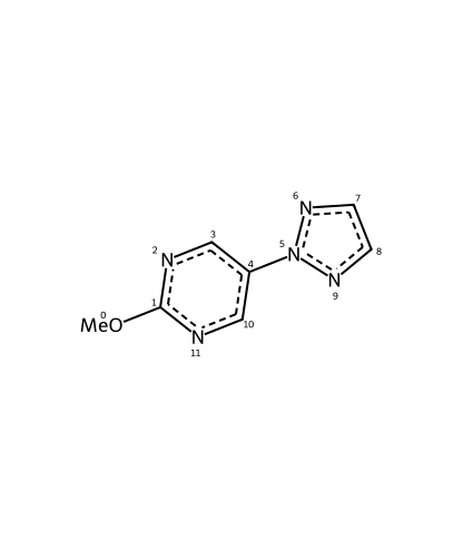 COc1ncc(-n2nccn2)cn1